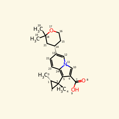 C[C@H]1C[C@@]1(C)c1c(C(=O)O)cn2cc([C@H]3CCOC(C)(C)C3)ccc12